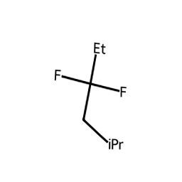 CCC(F)(F)CC(C)C